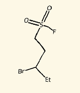 CCC(Br)CCS(=O)(=O)F